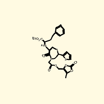 CCOC(=O)C(CCc1ccccc1)NC1CSC(c2cccs2)CN(CC(=O)OCc2oc(=O)oc2C)C1=O